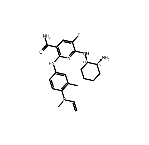 C=CN(C)c1ccc(Nc2nc(N[C@@H]3CCCC[C@@H]3N)c(F)cc2C(N)=O)cc1C